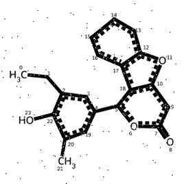 CCc1cc(-c2oc(=O)cc3oc4ccccc4c23)cc(C)c1O